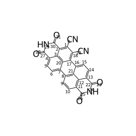 N#Cc1c2c3c(ccc4c5ccc6c7c(ccc(c(c1C#N)c34)c75)C(=O)NC6=O)C(=O)NC2=O